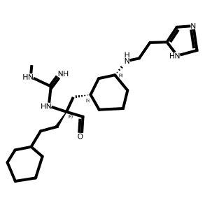 CNC(=N)N[C@](C=O)(CCC1CCCCC1)C[C@H]1CCC[C@@H](NCCc2cnc[nH]2)C1